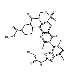 CC(C)(C)OC(=O)Nc1nc2c(-c3c(Cl)nc4c5c6c(nc4c3F)S(=O)(=O)CCN6C(=O)C3CN(C(=O)OC(C)(C)C)CCC53)c(F)cc(F)c2s1